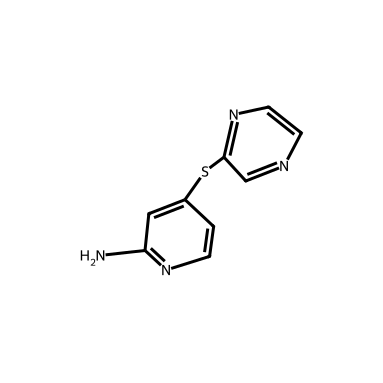 Nc1cc(Sc2cnccn2)ccn1